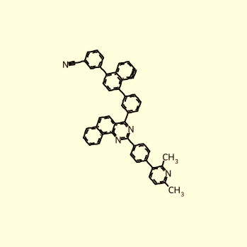 Cc1ccc(-c2ccc(-c3nc(-c4cccc(-c5ccc(-c6cccc(C#N)c6)c6ccc#cc56)c4)c4ccc5ccccc5c4n3)cc2)c(C)n1